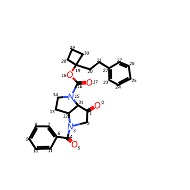 O=C1CN(C(=O)c2ccccc2)C2CCN(C(=O)OC3(CCc4ccccc4)CCC3)C12